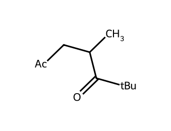 CC(=O)CC(C)C(=O)C(C)(C)C